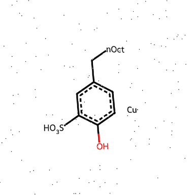 CCCCCCCCCc1ccc(O)c(S(=O)(=O)O)c1.[Cu]